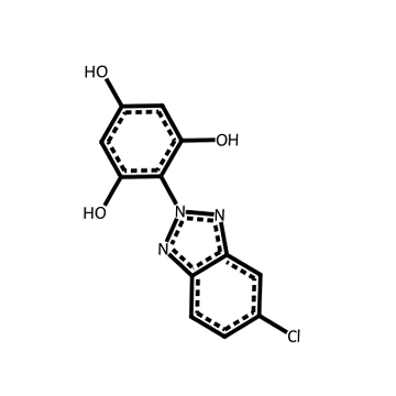 Oc1cc(O)c(-n2nc3ccc(Cl)cc3n2)c(O)c1